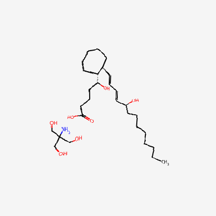 CCCCCCCCC(O)/C=C/C=C/[C@@H]1CCCCC[C@H]1C(O)CCCC(=O)O.NC(CO)(CO)CO